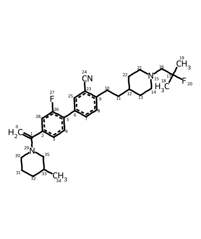 C=C(c1ccc(-c2ccc(CCC3CCN(CC(C)(C)F)CC3)c(C#N)c2)c(F)c1)N1CCCC(C)C1